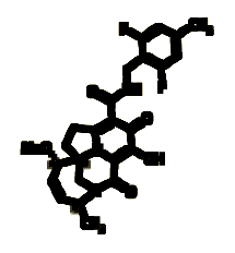 CO[C@H]1C=C[C@H](C)N2C[C@]13CCc1c(C(=O)NCc4c(F)cc(C)cc4F)c(=O)c(O)c(n13)C2=O